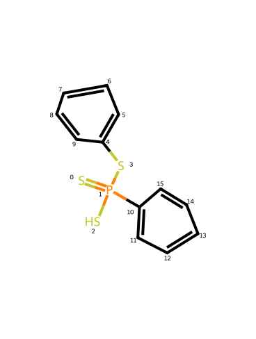 S=P(S)(Sc1ccccc1)c1ccccc1